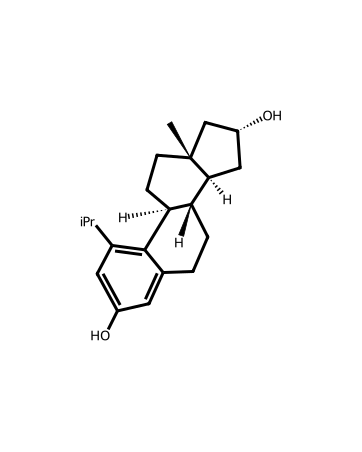 CC(C)c1cc(O)cc2c1[C@H]1CC[C@]3(C)C[C@H](O)C[C@H]3[C@@H]1CC2